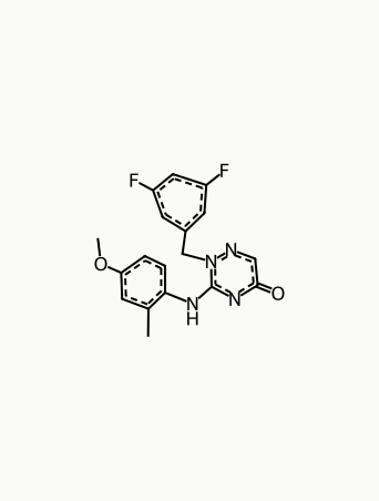 COc1ccc(Nc2nc(=O)cnn2Cc2cc(F)cc(F)c2)c(C)c1